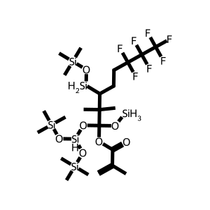 C=C(C)C(=O)OC(O[SiH3])(O[SiH](O[Si](C)(C)C)O[Si](C)(C)C)C(C)(C)C(CCC(F)(F)C(F)(F)C(F)(F)F)[SiH2]O[Si](C)(C)C